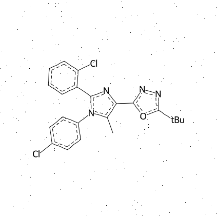 Cc1c(-c2nnc(C(C)(C)C)o2)nc(-c2ccccc2Cl)n1-c1ccc(Cl)cc1